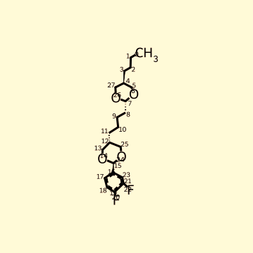 CCCC[C@H]1CO[C@H](CCCC[C@H]2CO[C@H](c3ccc(F)c(F)c3)OC2)OC1